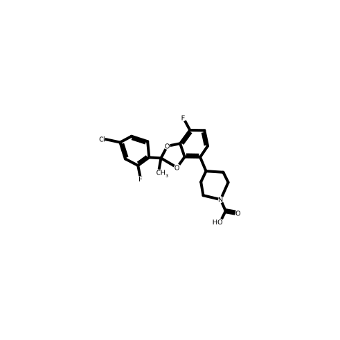 CC1(c2ccc(Cl)cc2F)Oc2c(F)ccc(C3CCN(C(=O)O)CC3)c2O1